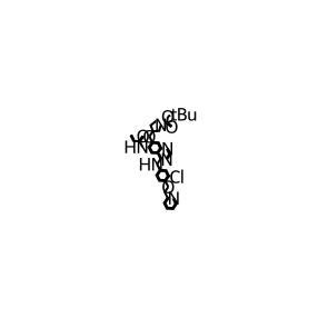 C=CC(=O)Nc1cc2c(Nc3ccc(OCc4ccccn4)c(Cl)c3)ncnc2cc1OC1CCN(C(=O)OC(C)(C)C)C1